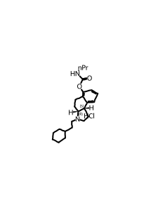 CCCNC(=O)Oc1cccc2c1CC[C@@H]1[C@H]2CCN1CCC1CCCCC1.Cl